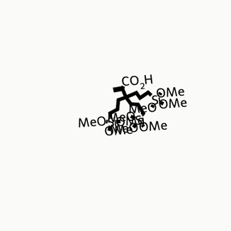 C=C(C(=O)O)C(CCC[Si](OC)(OC)OC)(CCC[Si](OC)(OC)OC)CCC[Si](OC)(OC)OC